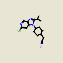 CC(C)c1nc2cnc(Cl)cc2n1C1CCC(CC#N)CC1